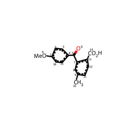 COc1ccc(C(=O)c2cc(C)ccc2C(=O)O)cc1